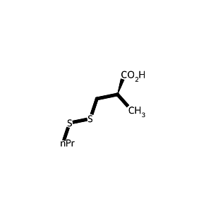 CCCSSC[C@H](C)C(=O)O